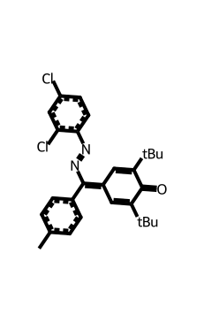 Cc1ccc(C(N=Nc2ccc(Cl)cc2Cl)=C2C=C(C(C)(C)C)C(=O)C(C(C)(C)C)=C2)cc1